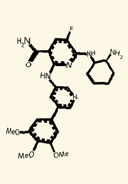 COc1cc(-c2cncc(Nc3nc(NC4CCCC[C@@H]4N)c(F)cc3C(N)=O)c2)cc(OC)c1OC